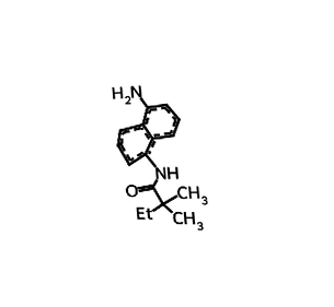 CCC(C)(C)C(=O)Nc1cccc2c(N)cccc12